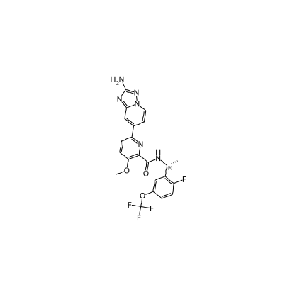 COc1ccc(-c2ccn3nc(N)nc3c2)nc1C(=O)N[C@H](C)c1cc(OC(F)(F)F)ccc1F